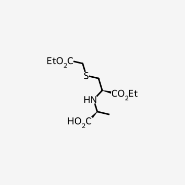 CCOC(=O)CSC[C@H](N[C@@H](C)C(=O)O)C(=O)OCC